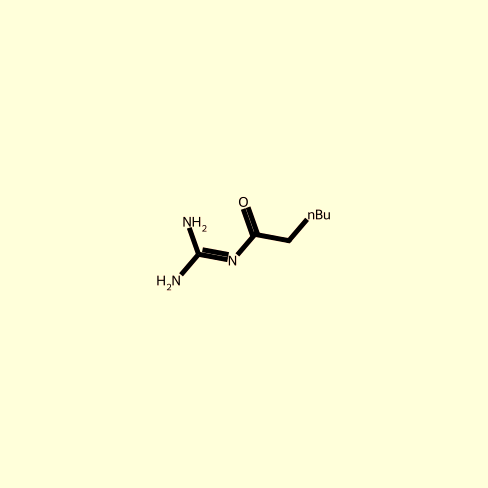 CCCCCC(=O)N=C(N)N